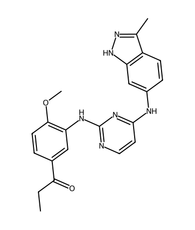 CCC(=O)c1ccc(OC)c(Nc2nccc(Nc3ccc4c(C)n[nH]c4c3)n2)c1